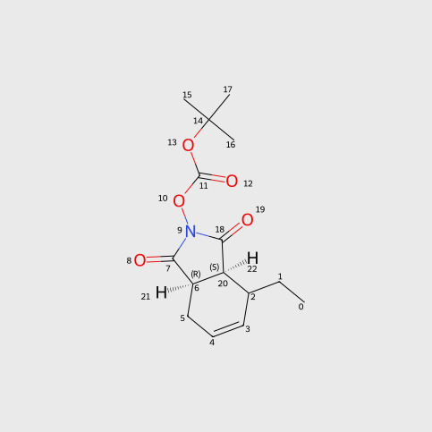 CCC1C=CC[C@H]2C(=O)N(OC(=O)OC(C)(C)C)C(=O)[C@@H]12